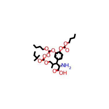 CCCCOC(=O)Oc1ccc(C(C(C)COC(=O)OC(C)(C)CC)[C@H](N)C(=O)O)cc1OC(=O)OCCCC